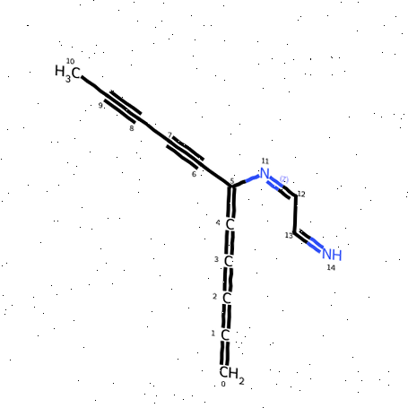 C=C=C=C=C=C(C#CC#CC)/N=C\C=N